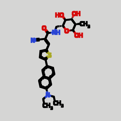 CCN(CC)c1ccc2cc(-c3ccc(/C=C(\C#N)C(=O)NC[C@H]4OC(O)[C@H](C)[C@@H](O)[C@@H]4O)s3)ccc2c1